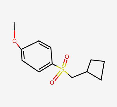 COc1ccc(S(=O)(=O)CC2CCC2)cc1